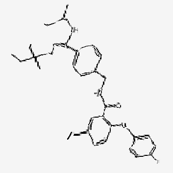 CCC(C)(C)C/C=C(/NC(C)C)c1ccc(CNC(=O)c2cc(F)ccc2Oc2ccc(F)cc2)cc1